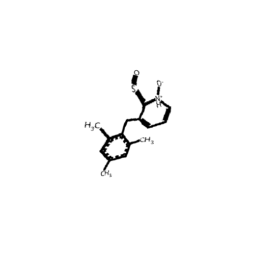 Cc1cc(C)c(CC2=CC=C[NH+]([O-])C2=S=O)c(C)c1